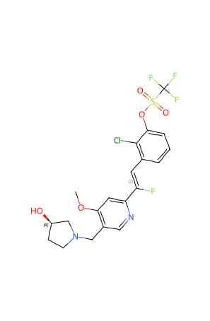 COc1cc(/C(F)=C/c2cccc(OS(=O)(=O)C(F)(F)F)c2Cl)ncc1CN1CC[C@@H](O)C1